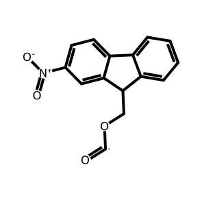 O=[C]OCC1c2ccccc2-c2ccc([N+](=O)[O-])cc21